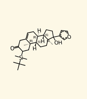 CC(C)(C)[Si](C)(C)C1C[C@@]2(C)C(=CC[C@@H]3[C@@H]2CC[C@@]2(C)[C@H]3CCC2(O)c2ccoc2)CC1=O